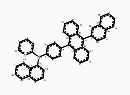 c1ccc(N(c2ccc(-c3c4ccccc4c(-c4ccc5ccccc5c4)c4ccccc34)cc2)c2cccc3ccccc23)nc1